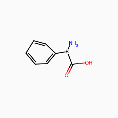 NB(C(=O)O)c1ccccc1